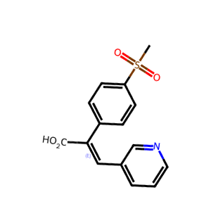 CS(=O)(=O)c1ccc(/C(=C\c2cccnc2)C(=O)O)cc1